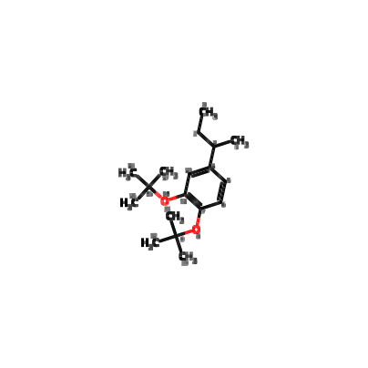 CCC(C)c1ccc(OC(C)(C)C)c(OC(C)(C)C)c1